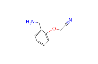 N#CCOc1ccccc1CN